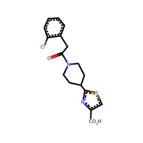 O=C(O)c1csc(C2CCN(C(=O)Cc3ccccc3Cl)CC2)n1